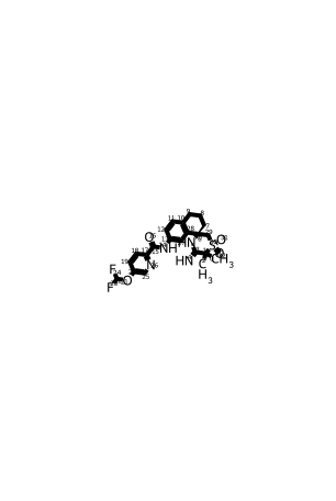 CC1(C)C(=N)N[C@@]2(CCCc3ccc(NC(=O)c4ccc(OC(F)F)cn4)cc32)CS1(=O)=O